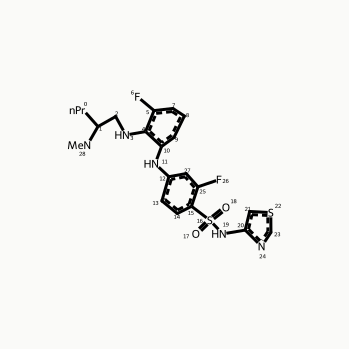 CCCC(CNc1c(F)cccc1Nc1ccc(S(=O)(=O)Nc2cscn2)c(F)c1)NC